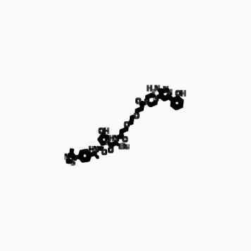 Cc1ncsc1-c1ccc([C@H](C)NC(=O)[C@@H]2C[C@@H](O)CN2C(=O)[C@@H](NC(=O)CCOCCOCCC(=O)N2CCN(c3cc(-c4ccccc4O)nnc3N)CC2)C(C)(C)C)cc1